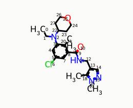 CCN(c1cc(Cl)cc(C(=O)NCc2cnn(C)c2C)c1C)C1CCOCC1